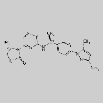 Cc1cc(C)n(-c2ccc([C@H](C)Nc3nccc(N4C(=O)OC[C@@H]4C(C)C)n3)cc2)n1